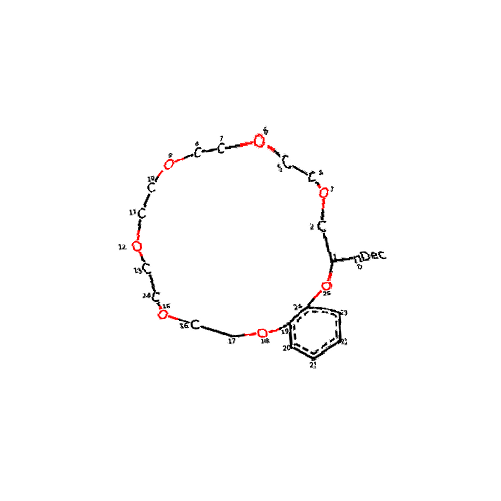 CCCCCCCCCCC1COCCOCCOCCOCCOCCOc2ccccc2O1